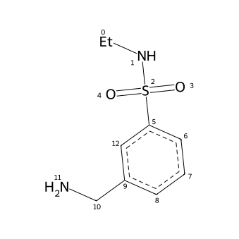 CCNS(=O)(=O)c1cccc(CN)c1